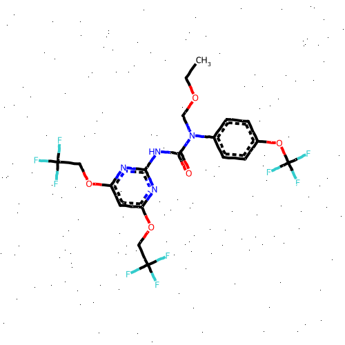 CCOCN(C(=O)Nc1nc(OCC(F)(F)F)cc(OCC(F)(F)F)n1)c1ccc(OC(F)(F)F)cc1